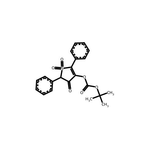 CC(C)(C)OC(=O)OC1=C(c2ccccc2)S(=O)(=O)C(c2ccccc2)C1=O